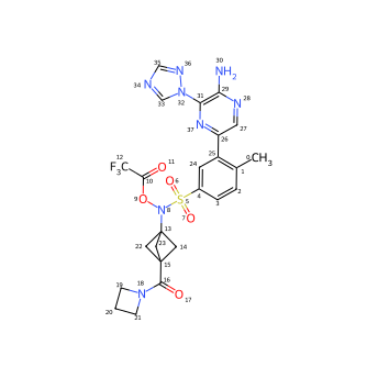 Cc1ccc(S(=O)(=O)N(OC(=O)C(F)(F)F)C23CC(C(=O)N4CCC4)(C2)C3)cc1-c1cnc(N)c(-n2cncn2)n1